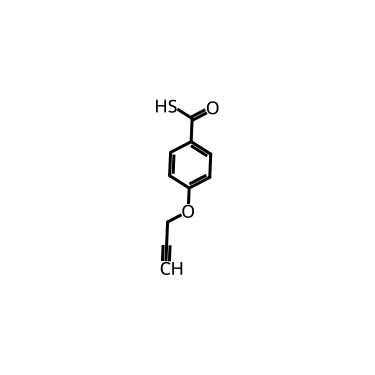 C#CCOc1ccc(C(=O)S)cc1